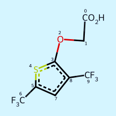 O=C(O)COc1sc(C(F)(F)F)cc1C(F)(F)F